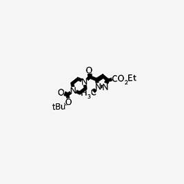 CCOC(=O)c1cc(C(=O)N2CCN(C(=O)OC(C)(C)C)CC2)n(C)n1